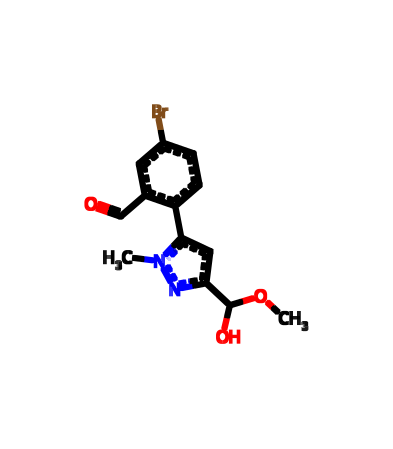 COC(O)c1cc(-c2ccc(Br)cc2C=O)n(C)n1